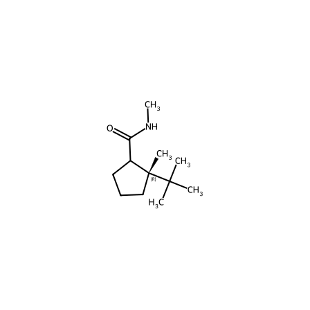 CNC(=O)C1CCC[C@@]1(C)C(C)(C)C